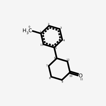 Cc1cccc(C2CCCC(=O)C2)c1